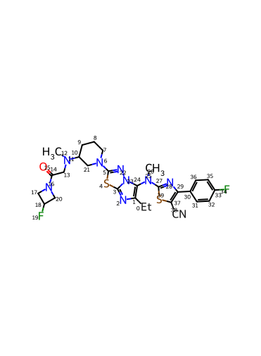 CCc1nc2sc(N3CCCC(N(C)CC(=O)N4CC(F)C4)C3)nn2c1N(C)c1nc(-c2ccc(F)cc2)c(C#N)s1